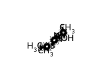 Cc1ccc(O)c(-n2nc3ccc(Sc4ccc(C(C)C)cc4)cc3n2)c1